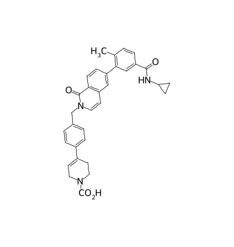 Cc1ccc(C(=O)NC2CC2)cc1-c1ccc2c(=O)n(Cc3ccc(C4=CCN(C(=O)O)CC4)cc3)ccc2c1